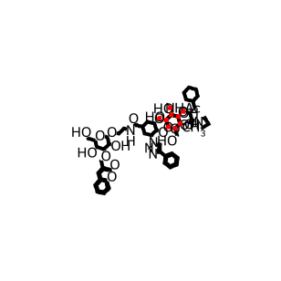 CC(=O)NC1C(O[C@@H](CC2CCCCC2)C(=O)N2CCC2)[C@@H](O)C(CO)O[C@H]1O[C@@H]1CC(C(=O)NCCO[C@H]2OC(CO)[C@@H](O)C(OCc3cc4ccccc4oc3=O)C2O)CC(n2cc(-c3ccccc3)nn2)C1O[C@@H]1OC(C)[C@@H](O)C(O)C1O